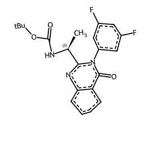 C[C@H](NC(=O)OC(C)(C)C)c1nc2ccccc2c(=O)n1-c1cc(F)cc(F)c1